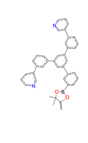 C=C1OB(c2cccc(-c3cc(-c4cccc(-c5cccnc5)c4)cc(-c4cccc(-c5cccnc5)c4)c3)c2)OC1(C)C